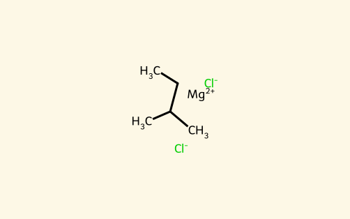 CCC(C)C.[Cl-].[Cl-].[Mg+2]